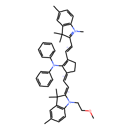 COCCN1/C(=C/C=C2\CCC(/C=C/C3=[N+](C)c4ccc(C)cc4C3(C)C)=C2N(c2ccccc2)c2ccccc2)C(C)(C)c2cc(C)ccc21